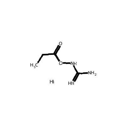 CCC(=O)ONC(=N)N.I